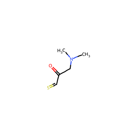 CN(C)CC(=O)C=S